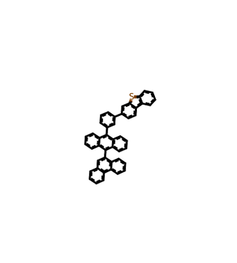 c1cc(-c2ccc3c(c2)sc2ccccc23)cc(-c2c3ccccc3c(-c3cc4ccccc4c4ccccc34)c3ccccc23)c1